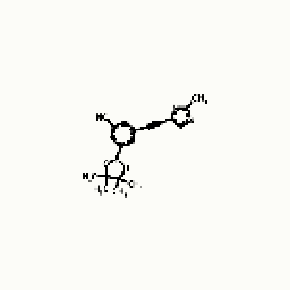 Cc1nc(C#Cc2cc(C#N)cc(B3OC(C)(C)C(C)(C)O3)c2)cs1